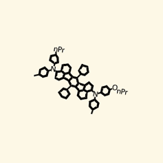 CCCOc1ccc(N(c2ccc(C)cc2)c2ccc3c4c(-c5ccccc5)c5c6cccc7c(N(c8ccc(C)cc8)c8ccc(CCC)cc8)ccc(c5c(-c5ccccc5)c4c4cccc2c43)c76)cc1